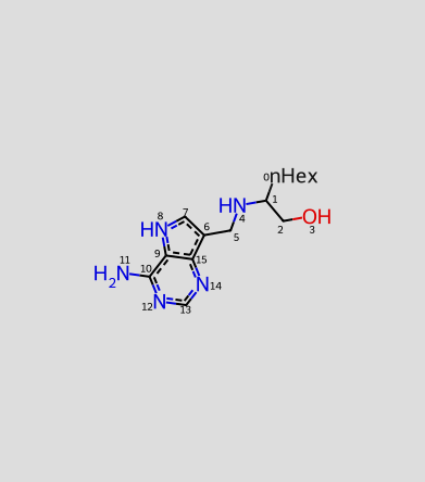 CCCCCCC(CO)NCc1c[nH]c2c(N)ncnc12